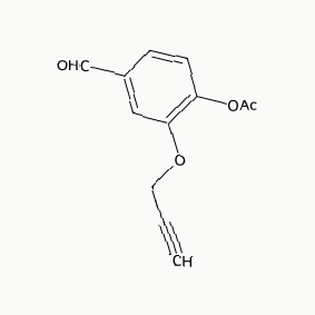 C#CCOc1cc(C=O)ccc1OC(C)=O